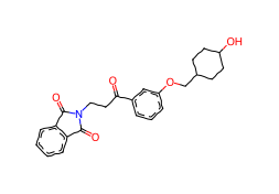 O=C(CCN1C(=O)c2ccccc2C1=O)c1cccc(OCC2CCC(O)CC2)c1